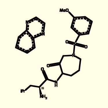 COc1cccc(S(=O)(=O)N2CCCC(NC(=O)[C@@H](N)CC(C)C)C(=O)C2)c1.c1ccc2nccnc2c1